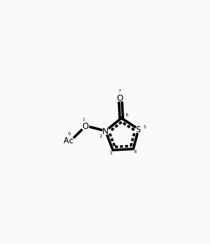 CC(=O)On1ccsc1=O